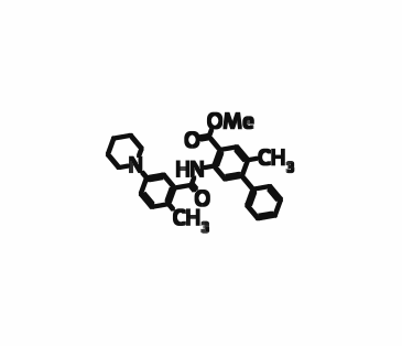 COC(=O)c1cc(C)c(-c2ccccc2)cc1NC(=O)c1cc(N2CCCCC2)ccc1C